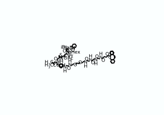 CCCCCCN(C(=O)[C@@H](NCC1CCCCN1C)[C@@H](C)CC)[C@H](C[C@@H](OC(C)=O)c1nc(C(=O)N[C@@H](Cc2ccc(NCC(=O)NCCOCCOCCNC(=O)CNC(=O)CNC(=O)CNC(=O)CCC(=O)N3CC4=C(C#Cc5ccccc53)CCC=C4)cc2)CC(C)(C)C(=O)O)cs1)C(C)C